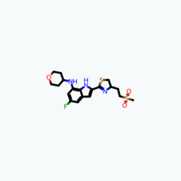 CS(=O)(=O)CCC1CSC(c2cc3cc(F)cc(NC4CCOCC4)c3[nH]2)=N1